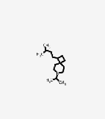 CC(C)CCC1CCC12CCN(C(C)C)CC2